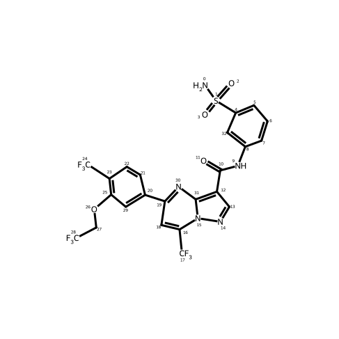 NS(=O)(=O)c1cccc(NC(=O)c2cnn3c(C(F)(F)F)cc(-c4ccc(C(F)(F)F)c(OCC(F)(F)F)c4)nc23)c1